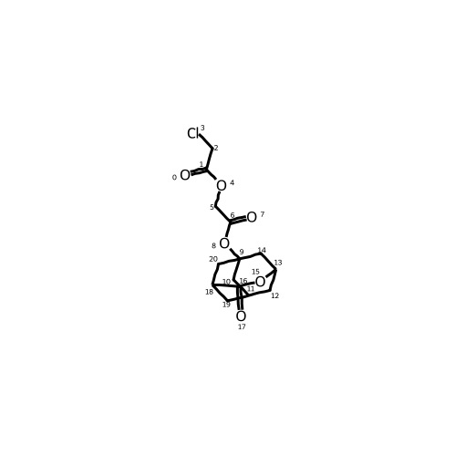 O=C(CCl)OCC(=O)OC12CC3CC(C1)OC(=O)C(C3)C2